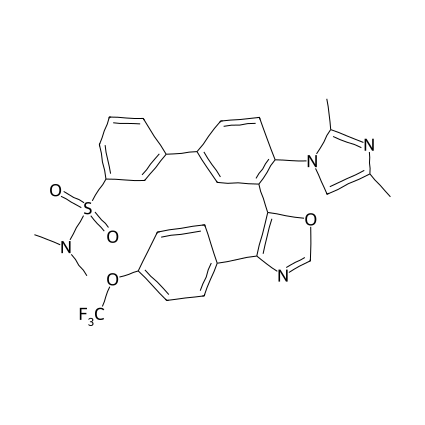 Cc1cn(-c2ccc(-c3cccc(S(=O)(=O)N(C)C)c3)cc2-c2ocnc2-c2ccc(OC(F)(F)F)cc2)c(C)n1